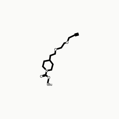 C#CCOCCOCCC1CCN(C(=O)OC(C)(C)C)CC1